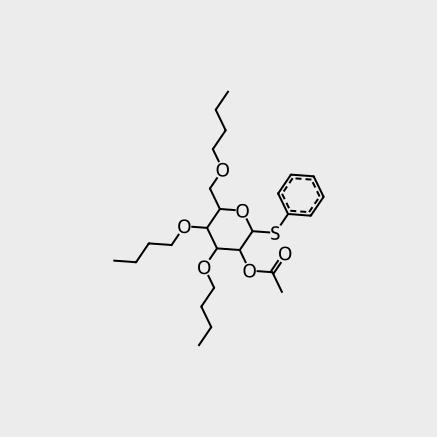 CCCCOCC1OC(Sc2ccccc2)C(OC(C)=O)C(OCCCC)C1OCCCC